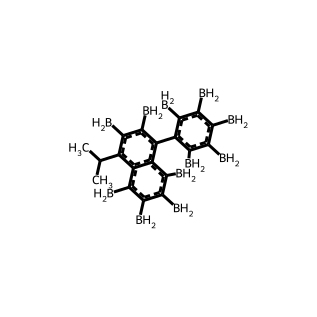 Bc1c(B)c(B)c(-c2c(B)c(B)c(C(C)C)c3c(B)c(B)c(B)c(B)c23)c(B)c1B